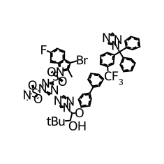 CC(C)(C)C(O)C(Oc1ccc(-c2ccccc2)cc1)n1cncn1.Cc1c(Br)c2ccc(F)cc2n1S(=O)(=O)c1ncn(S(=O)(=O)N(C)C)n1.FC(F)(F)c1cccc(C(c2ccccc2)(c2ccccc2)n2cncn2)c1